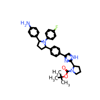 CC(C)(C)OC(=O)N1CCCC1c1nc(-c2ccc(C3CCC(c4ccc(N)cc4)N3c3ccc(F)cc3)cc2)c[nH]1